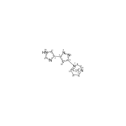 c1nc(-c2nnc(N3CCN4CCC3CC4)s2)c[nH]1